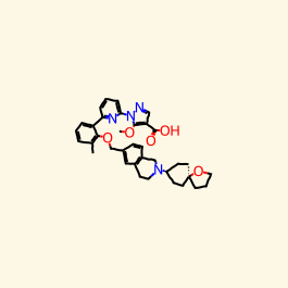 COc1c(C(=O)O)cnn1-c1cccc(-c2cccc(C)c2OCc2ccc3c(c2)CCN([C@H]2CC[C@]4(CCCO4)CC2)C3)n1